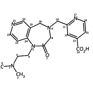 CN(C)CCN1C(=O)CN(Cc2cc(C(=O)O)ccn2)Cc2cnccc21